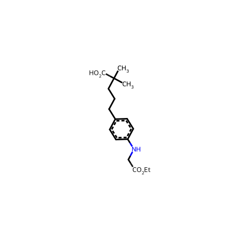 CCOC(=O)CNc1ccc(CCCC(C)(C)C(=O)O)cc1